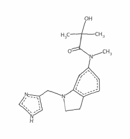 CN(C(=O)C(C)(C)O)c1ccc2c(c1)N(Cc1c[nH]cn1)CC2